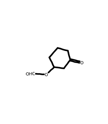 O=[C]OC1CCCC(=O)C1